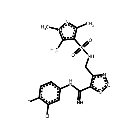 Cc1nn(C)c(C)c1S(=O)(=O)NCc1nonc1C(=N)Nc1ccc(F)c(Cl)c1